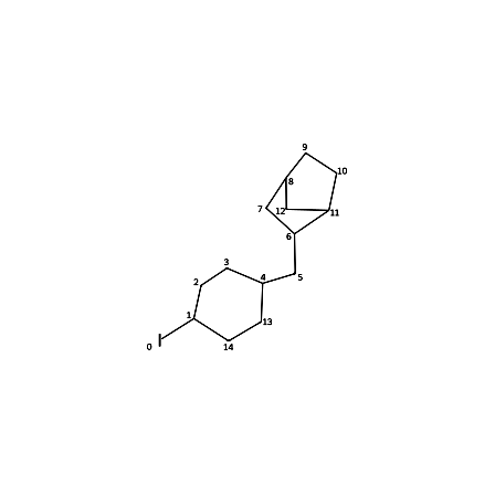 IC1CCC(CC2CC3CCC2C3)CC1